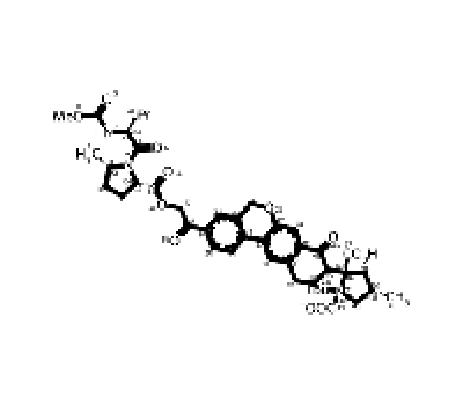 COC(=O)N[C@H](C(=O)N1[C@@H](C)CC[C@H]1C(=O)OCC(=O)c1ccc2c(c1)COc1cc3c(cc1-2)CCC([C@]1(C(=O)O)C[C@H](C)C[N+]1(C(=O)[O-])C(C)(C)C)C3=O)C(C)C